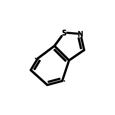 [c]1cc[c]c2sncc12